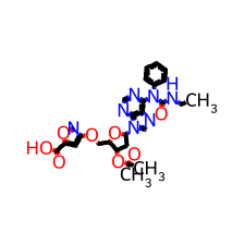 CCNC(=O)N(c1ccccc1)c1ncnc2c1ncn2C1OC(COc2cc(C(=O)O)on2)C2OC(C)(C)OC21